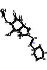 C#CCn1c(=O)[nH]c2nc(/C=C/c3ccccc3)[nH]c2c1=O